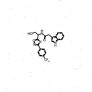 O=C(Cc1c[nH]c2ccccc12)NC(CO)c1nc(-c2ccc(C(F)(F)F)cc2)no1